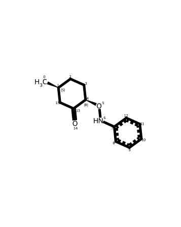 C[C@H]1CC[C@@H](ONc2ccccc2)C(=O)C1